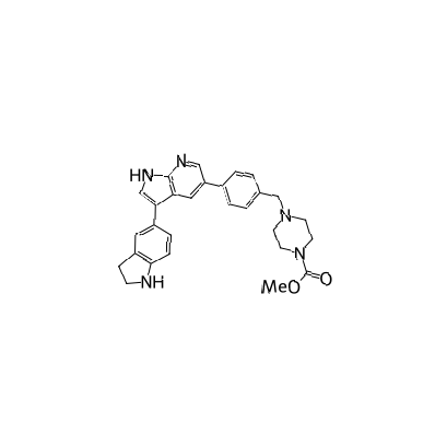 COC(=O)N1CCN(Cc2ccc(-c3cnc4[nH]cc(-c5ccc6c(c5)CCN6)c4c3)cc2)CC1